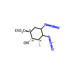 CCOC(=O)[C@H]1CC(N=[N+]=[N-])C(N=[N+]=[N-])[C@H](C)[C@@H]1N=O